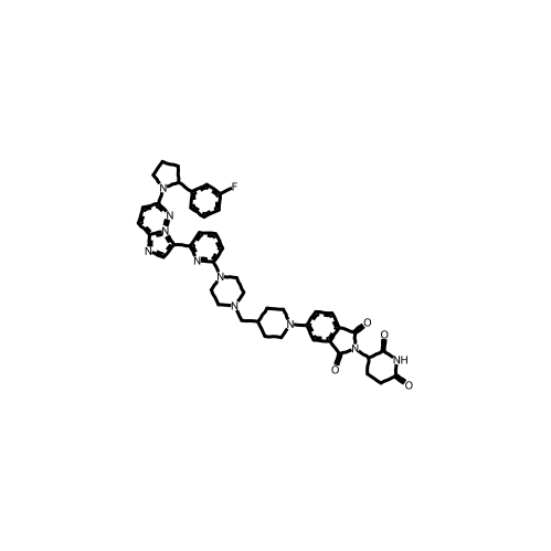 O=C1CCC(N2C(=O)c3ccc(N4CCC(CN5CCN(c6cccc(-c7cnc8ccc(N9CCCC9c9cccc(F)c9)nn78)n6)CC5)CC4)cc3C2=O)C(=O)N1